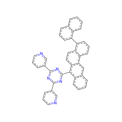 c1cncc(-c2nc(-c3cccnc3)nc(-c3c4ccccc4cc4c3ccc3c(-c5cccc6ccccc56)cccc34)n2)c1